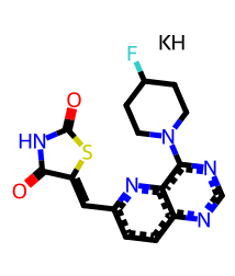 O=C1NC(=O)C(=Cc2ccc3ncnc(N4CCC(F)CC4)c3n2)S1.[KH]